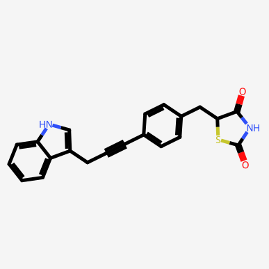 O=C1NC(=O)C(Cc2ccc(C#CCc3c[nH]c4ccccc34)cc2)S1